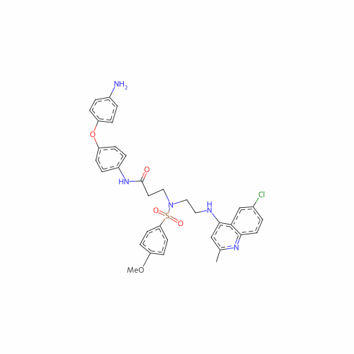 COc1ccc(S(=O)(=O)N(CCNc2cc(C)nc3ccc(Cl)cc23)CCC(=O)Nc2ccc(Oc3ccc(N)cc3)cc2)cc1